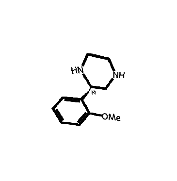 COc1ccccc1[C@@H]1CNCCN1